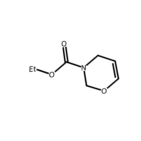 CCOC(=O)N1CC=COC1